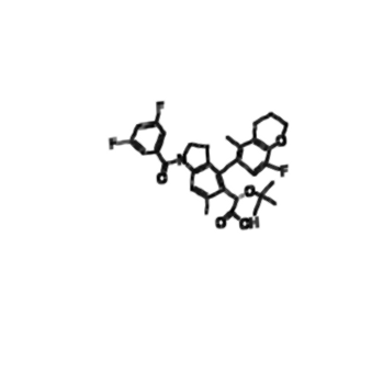 Cc1cc2c(c(-c3cc(F)c4c(c3C)CCCO4)c1[C@H](OC(C)(C)C)C(=O)O)CCN2C(=O)c1cc(F)cc(F)c1